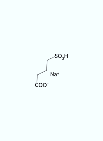 O=C([O-])CCCS(=O)(=O)O.[Na+]